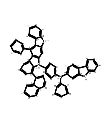 c1ccc(-c2c3c(cc4c2c2cccc(-c5cccc6ccccc56)c2n4-c2ccc(N(c4ccccc4)c4ccc5c(c4)sc4ccccc45)cc2)oc2ccccc23)cc1